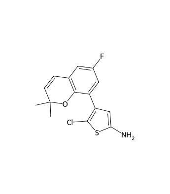 CC1(C)C=Cc2cc(F)cc(-c3cc(N)sc3Cl)c2O1